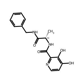 C[C@H](NC(=O)c1nccc(O)c1O)C(=O)NCc1ccccc1